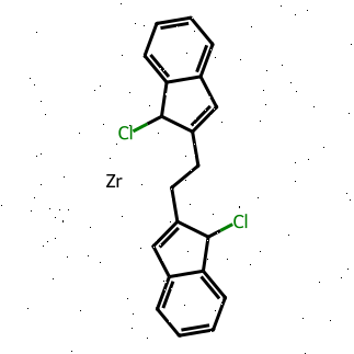 ClC1C(CCC2=Cc3ccccc3C2Cl)=Cc2ccccc21.[Zr]